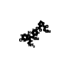 CC(C)(C)OC(=O)N1CCCC1C(=O)Oc1ccc(C(c2[nH]c3ccc(Cl)cc3c2CCN)C(C)(C)C)cc1